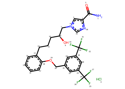 Cl.NC(=O)c1cn(C[C@@H](O)CCCc2ccccc2OCc2cc(C(F)(F)F)cc(C(F)(F)F)c2)cn1